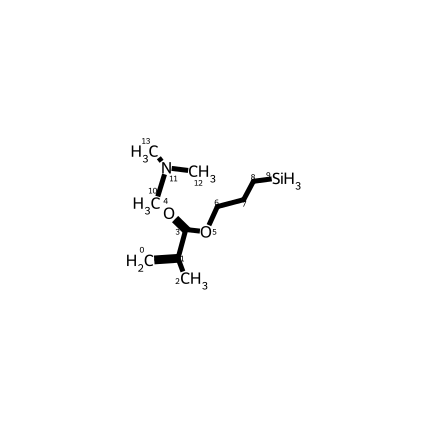 C=C(C)C(=O)OCCC[SiH3].CN(C)C